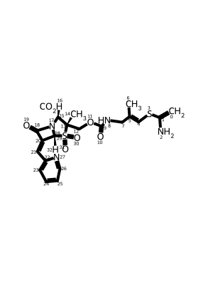 C=C(N)S/C=C(\C)CNC(=O)OC[C@@]1(C)[C@H](C(=O)O)N2C(=O)/C(=C/c3ccccn3)[C@H]2S1(=O)=O